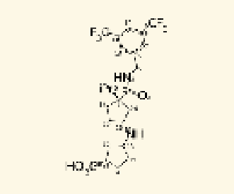 CC(C)[C@]1(C(=O)NCc2cc(C(F)(F)F)cc(C(F)(F)F)c2)CC[C@@H](NC2CCC(C(=O)O)C2)C1